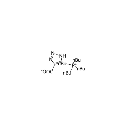 CCCC[P+](CCCC)(CCCC)CCCC.O=C([O-])c1c[nH]nn1